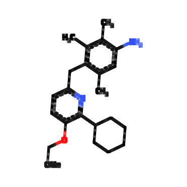 COCOc1ccc(Cc2c(C)cc(N)c(C)c2C)nc1C1CCCCC1